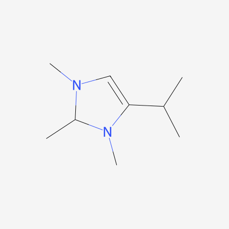 CC(C)C1=CN(C)C(C)N1C